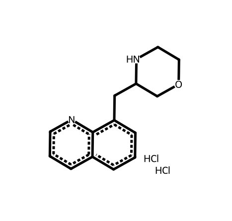 Cl.Cl.c1cnc2c(CC3COCCN3)cccc2c1